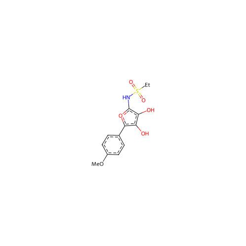 CCS(=O)(=O)Nc1oc(-c2ccc(OC)cc2)c(O)c1O